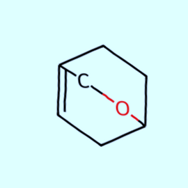 C1=C2CCC(C1)OC2